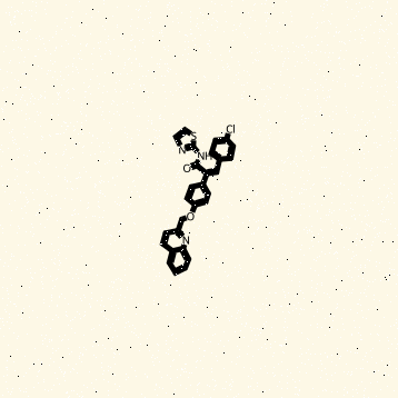 O=C(Nc1nccs1)C(=Cc1ccc(Cl)cc1)c1ccc(OCc2ccc3ccccc3n2)cc1